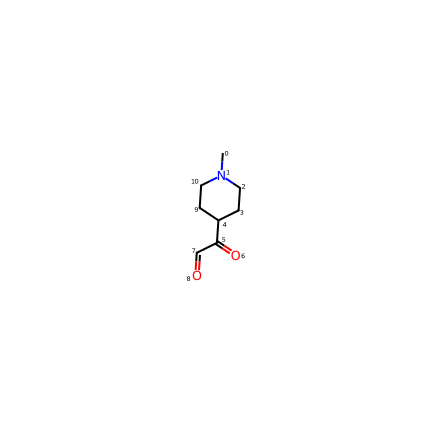 CN1CCC(C(=O)C=O)CC1